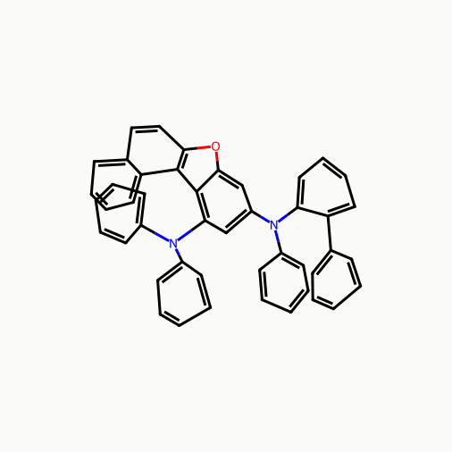 c1ccc(-c2ccccc2N(c2ccccc2)c2cc(N(c3ccccc3)c3ccccc3)c3c(c2)oc2ccc4ccccc4c23)cc1